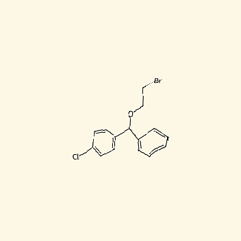 Clc1ccc(C(OCCBr)c2ccccc2)cc1